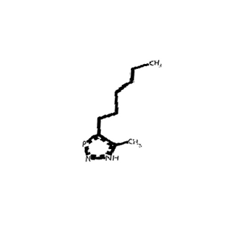 CCCCCCc1pn[nH]c1C